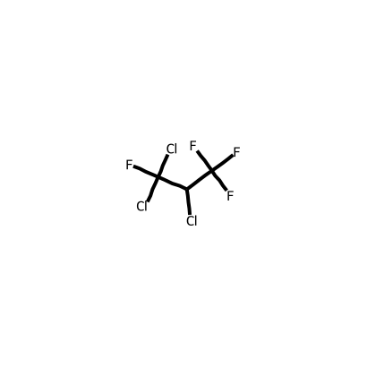 FC(F)(F)C(Cl)C(F)(Cl)Cl